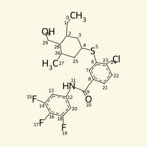 CCC1CC(Sc2cc(C(=O)Nc3cc(F)c(F)c(F)c3)ccc2Cl)CC(C)C1CO